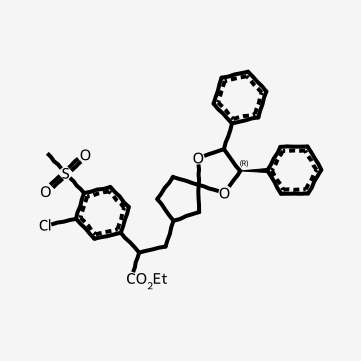 CCOC(=O)C(CC1CCC2(C1)OC(c1ccccc1)[C@@H](c1ccccc1)O2)c1ccc(S(C)(=O)=O)c(Cl)c1